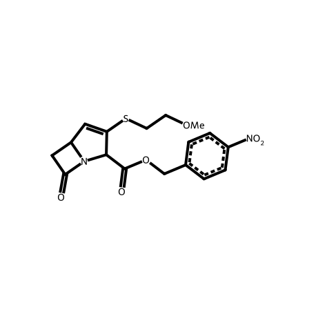 COCCSC1=CC2CC(=O)N2C1C(=O)OCc1ccc([N+](=O)[O-])cc1